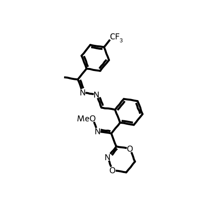 CON=C(C1=NOCCO1)c1ccccc1C=NN=C(C)c1ccc(C(F)(F)F)cc1